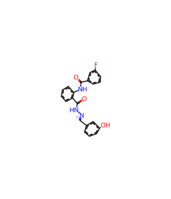 O=C(Nc1ccccc1C(=O)N/N=C/c1cccc(O)c1)c1cccc(F)c1